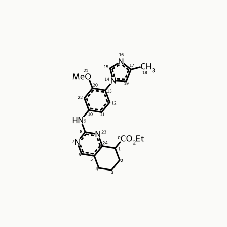 CCOC(=O)C1CCCc2cnc(Nc3ccc(-n4cnc(C)c4)c(OC)c3)nc21